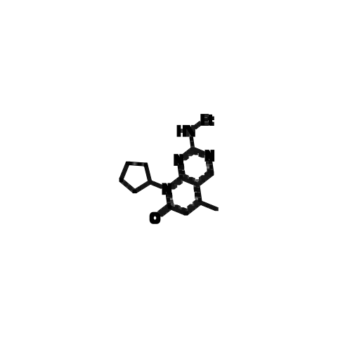 [CH2]CNc1ncc2c(C)cc(=O)n(C3CCCC3)c2n1